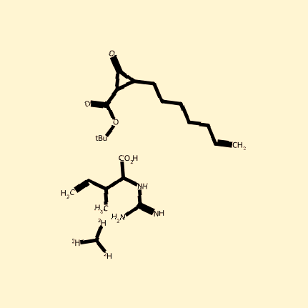 C=CC(C)C(NC(=N)N)C(=O)O.C=CCCCCCC1C(=O)C1C(=O)OC(C)(C)C.[2H]C([2H])[2H]